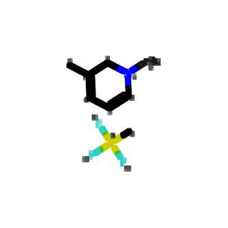 CCCCN1C=CC=C(C)C1.CS(F)(F)F